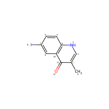 Cc1c[nH]c2ccc(I)cc2c1=O